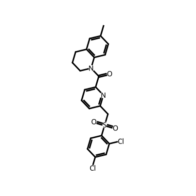 Cc1ccc2c(c1)CCCN2C(=O)c1cccc(CS(=O)(=O)c2ccc(Cl)cc2Cl)n1